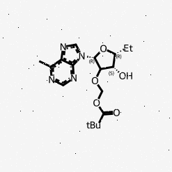 CC[C@H]1O[C@@H](n2cnc3c(C)ncnc32)C(OCOC(=O)C(C)(C)C)[C@H]1O